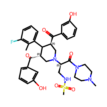 Cc1c(F)cccc1C1[C@@H](C(=O)c2cccc(O)c2)CN([C@H](CNS(C)(=O)=O)C(=O)N2CCN(C)CC2)C[C@@H]1C(=O)c1cccc(O)c1